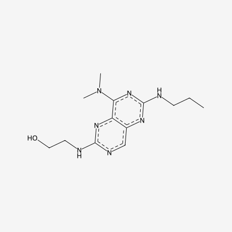 CCCNc1nc(N(C)C)c2nc(NCCO)ncc2n1